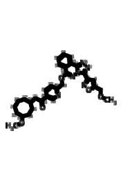 COCc1cc(-c2nnc3c4ccccc4c(OCc4ccc(C(=O)CC5CCCCC(OC)CC5)cn4)nn23)no1